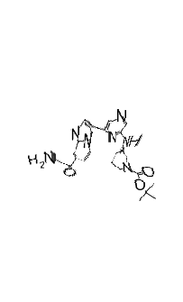 CC(C)(C)OC(=O)N1CCC[C@@H](Nc2cncc(-c3cnc4cc(C(N)=O)ccn34)n2)C1